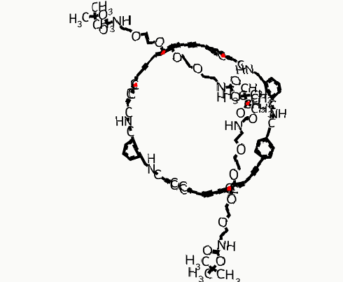 CC(C)(C)OC(=O)NCCOCCOc1cc2c(OCCOCCNC(=O)OC(C)(C)C)cc1C#Cc1ccc(cc1)CNCc1cccc(c1)CNCc1ccc(cc1)C#Cc1cc(OCCOCCNC(=O)OC(C)(C)C)c(cc1OCCOCCNC(=O)OC(C)(C)C)C#Cc1ccc(cc1)CNCc1cccc(c1)CNCc1ccc(cc1)C#C2